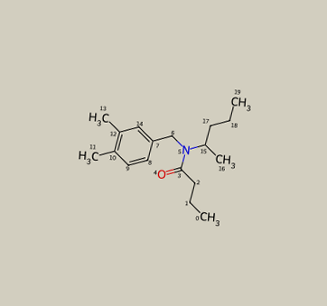 CCCC(=O)N(Cc1ccc(C)c(C)c1)C(C)CCC